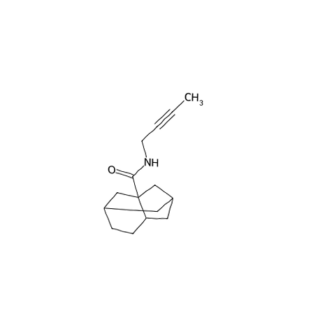 CC#CCNC(=O)C12CC3CCC1CC(C3)C2